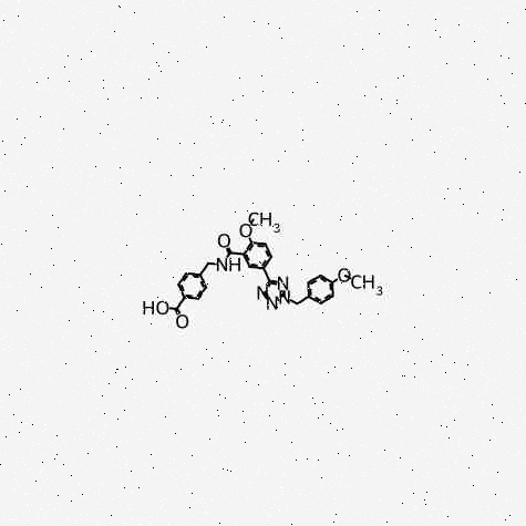 COc1ccc(Cn2nnc(-c3ccc(OC)c(C(=O)NCc4ccc(C(=O)O)cc4)c3)n2)cc1